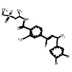 C[C@H](CS(=O)(=O)CC(F)(F)F)NC(=O)c1ccc(/C(F)=C/C(c2ccc(Br)c(Br)c2)C(F)(F)F)cc1C(F)(F)F